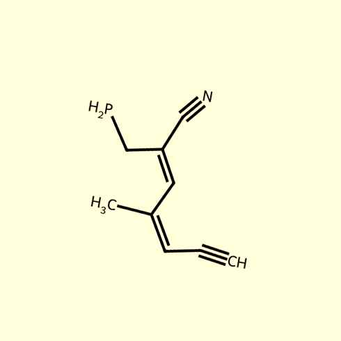 C#C/C=C(C)\C=C(\C#N)CP